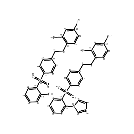 O=S(=O)(c1ccc(CCc2ccc(F)cc2F)cc1)c1ccccc1-n1ccnc1.O=S(=O)(c1ccc(CCc2ccc(F)cc2F)cc1)c1ccccc1F